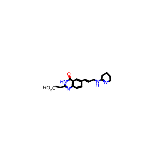 O=C(O)CCc1nc2ccc(C=CCNC3=NCCCC3)cc2c(=O)[nH]1